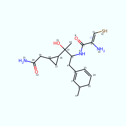 CC1C=C(CC(NC(=O)/C(N)=C/S)C(C)(O)C2CC2CC(N)=O)C=CC1